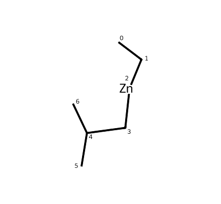 C[CH2][Zn][CH2]C(C)C